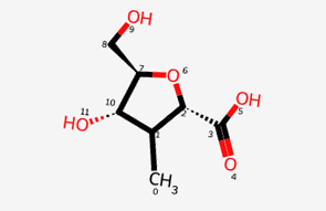 CC1[C@@H](C(=O)O)O[C@H](CO)[C@H]1O